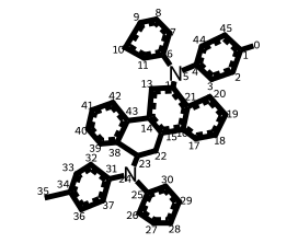 Cc1ccc(N(c2ccccc2)c2cc3c(c4ccccc24)CC(N(c2ccccc2)c2ccc(C)cc2)c2ccccc2-3)cc1